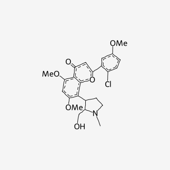 COc1ccc(Cl)c(-c2cc(=O)c3c(OC)cc(OC)c(C4CCN(C)C4CO)c3o2)c1